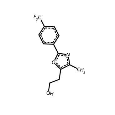 Cc1nc(-c2ccc(C(F)(F)F)cc2)oc1CCO